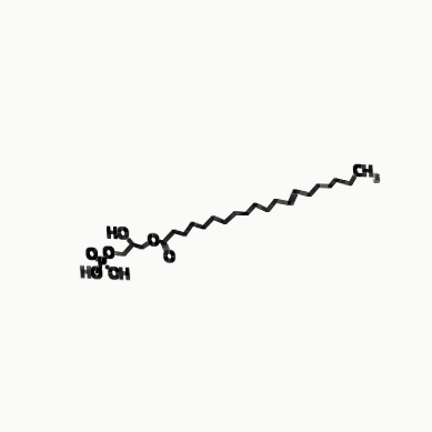 CCCCCCC=CCCCCCCCCCCCC(=O)OCC(O)COP(=O)(O)O